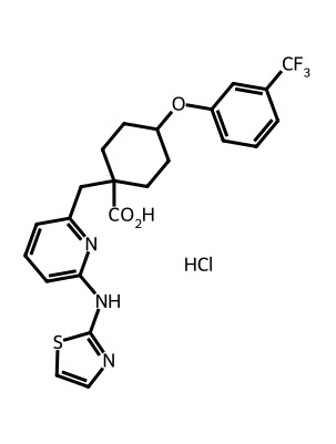 Cl.O=C(O)C1(Cc2cccc(Nc3nccs3)n2)CCC(Oc2cccc(C(F)(F)F)c2)CC1